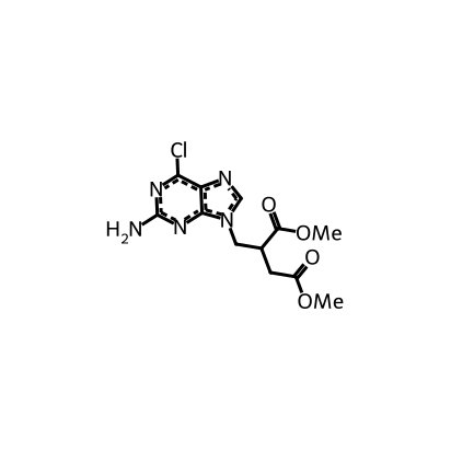 COC(=O)CC(Cn1cnc2c(Cl)nc(N)nc21)C(=O)OC